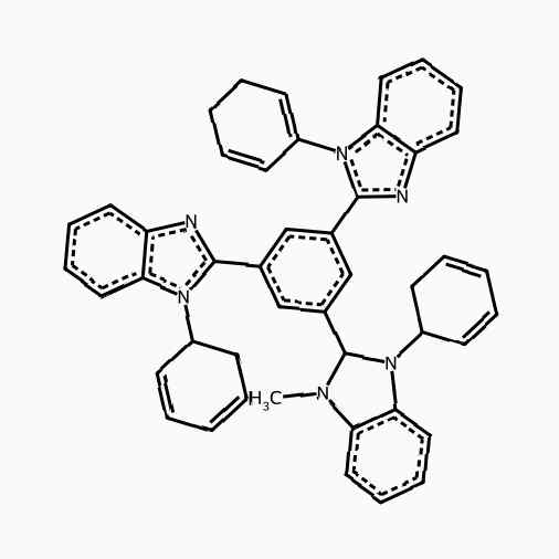 CN1c2ccccc2N(C2C=CC=CC2)C1c1cc(-c2nc3ccccc3n2C2=CCCC=C2)cc(-c2nc3ccccc3n2C2C=CC=CC2)c1